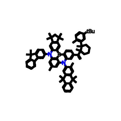 C=C(c1ccc2c(c1)N(c1cc3c(cc1C)C(C)(C)c1ccccc1C3(C)C)c1cc(C)cc3c1B2c1cc2c(cc1N3c1ccc3c(c1)-c1ccccc1C3(C)C)C(C)(C)CC2(C)C)C1(C)CCCCC1(C)c1cc(C(C)(C)C)ccc1C